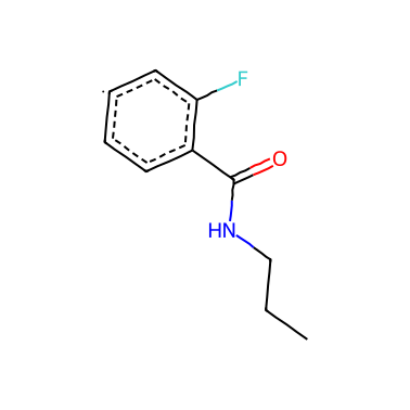 CCCNC(=O)c1cc[c]cc1F